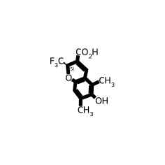 Cc1cc2c(c(C)c1O)C=C(C(=O)O)[C@@H](C(F)(F)F)O2